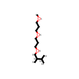 COCCCOCCCOCC(C)[C](C)C